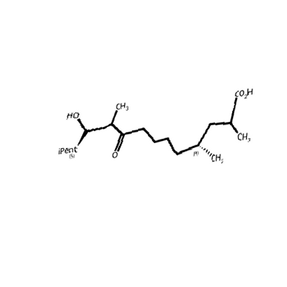 CCC[C@H](C)C(O)C(C)C(=O)CCCC[C@@H](C)CC(C)C(=O)O